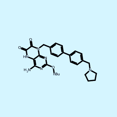 CCCCOc1nc(N)c2[nH]c(=O)c(=O)n(Cc3ccc(-c4ccc(CN5CCCC5)cc4)cc3)c2n1